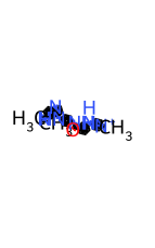 CN(C)c1ccc2nccc(Nc3ccc(NC(=O)c4cccc(Nc5cc[n+](C)cc5)c4)cc3)c2c1